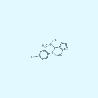 CN(C)C1c2ccoc2N=CN1c1ccc(N)cc1